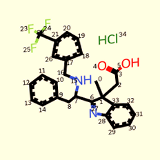 CC1(CC(=O)O)C(C(Cc2ccccc2)NCc2cccc(C(F)(F)F)c2)=Nc2ccccc21.Cl